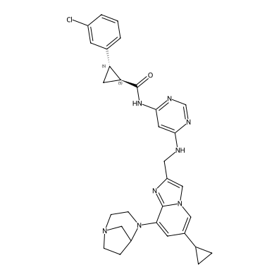 O=C(Nc1cc(NCc2cn3cc(C4CC4)cc(N4CCN5CCC4C5)c3n2)ncn1)[C@H]1C[C@@H]1c1cccc(Cl)c1